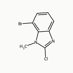 Cn1c(Cl)nc2cccc(Br)c21